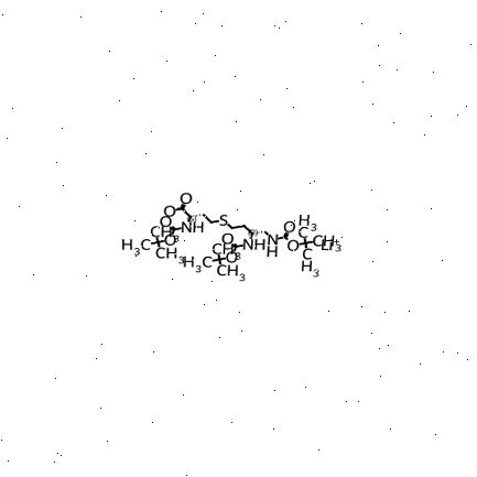 CC(C)(C)OC(=O)NC[C@@H](CCSCC[C@H](NC(=O)OC(C)(C)C)C(=O)[O-])NC(=O)OC(C)(C)C.[Li+]